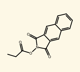 CCC(=O)ON1C(=O)c2cc3ccccc3cc2C1=O